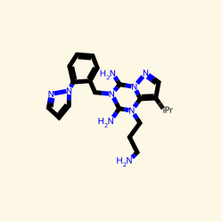 CC(C)c1cnn2c1N(CCCN)C(N)N(Cc1ccccc1-n1cccn1)C2N